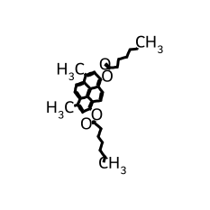 CCCCCCC(=O)Oc1cc(C)c2ccc3c(C)cc(OC(=O)CCCCCC)c4ccc1c2c34